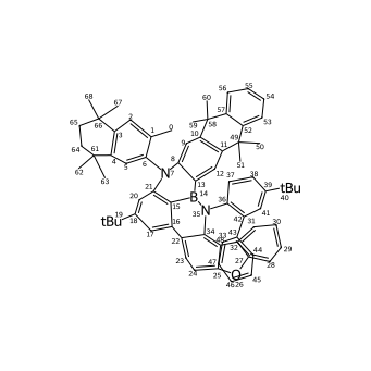 Cc1cc2c(cc1N1c3cc4c(cc3B3c5c(cc(C(C)(C)C)cc51)-c1ccc5oc6ccccc6c5c1N3c1ccc(C(C)(C)C)cc1-c1ccccc1)C(C)(C)c1ccccc1C4(C)C)C(C)(C)CCC2(C)C